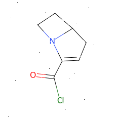 O=C(Cl)C1=CCC2CCN12